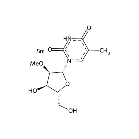 CO[C@@H]1[C@H](O)[C@@H](CO)O[C@H]1n1cc(C)c(=O)[nH]c1=O.[Sn]